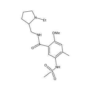 CCN1CCCC1CNC(=O)c1cc(NS(C)(=O)=O)c(C)cc1OC